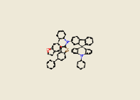 c1ccc(-c2ccc3sc(N(c4ccc5c(c4)C4(c6ccccc6-5)c5ccccc5N(c5ccccc5)c5ccccc54)c4ccccc4-c4ccc5ccoc5c4)cc3c2)cc1